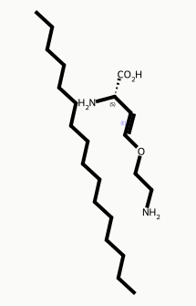 CCCCCCCCCCCCCCCC.NCCO/C=C/[C@H](N)C(=O)O